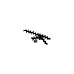 CCCCCCCCCCCCCCC(CCCCCCC)C(P)(CCCCCCC)CCCCCCC.I